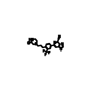 Cn1cnc2c(C#N)nc(-c3ccc(CCCN4CCNC(=O)C4)c(C(F)(F)F)c3)cc21